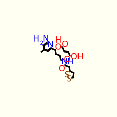 Cc1cc(N)nc(CCCCNC(=O)CC2CCSS2)c1.O=C(O)C=CC(=O)O